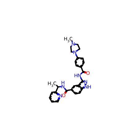 CC(NC(=O)c1ccc2[nH]nc(NC(=O)c3ccc(N4CCN(C)CC4)cc3)c2c1)c1ccccn1